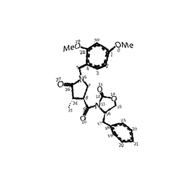 COc1ccc(CN2C[C@@H](C(=O)N3C(=O)OC[C@H]3Cc3ccccc3)[C@H](C)C2=O)c(OC)c1